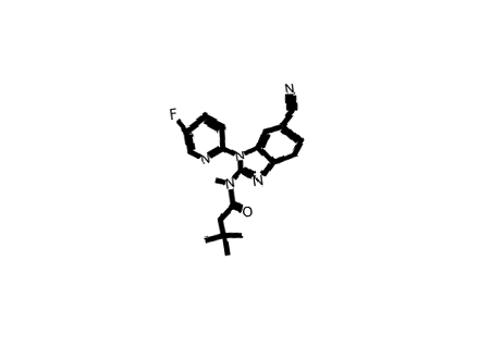 CN(C(=O)CC(C)(C)C)C1=NC2CC=C(C#N)C=C2N1c1ccc(F)cn1